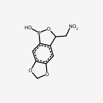 O=[N+]([O-])CC1OB(O)c2cc3c(cc21)OCO3